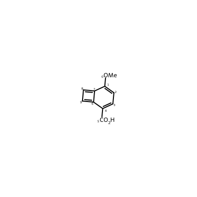 COc1ccc(C(=O)O)c2c1=CC=2